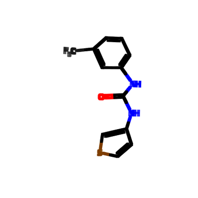 O=C(Nc1ccsc1)Nc1cccc(C(F)(F)F)c1